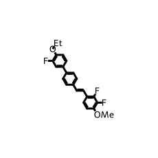 CCOc1ccc(-c2ccc(/C=C/c3ccc(OC)c(F)c3F)cc2)cc1F